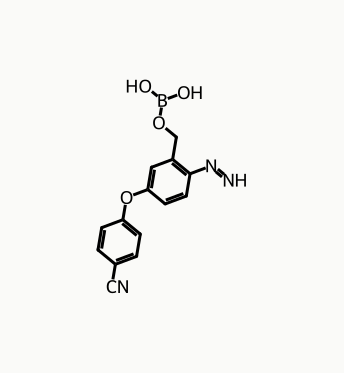 N#Cc1ccc(Oc2ccc(N=N)c(COB(O)O)c2)cc1